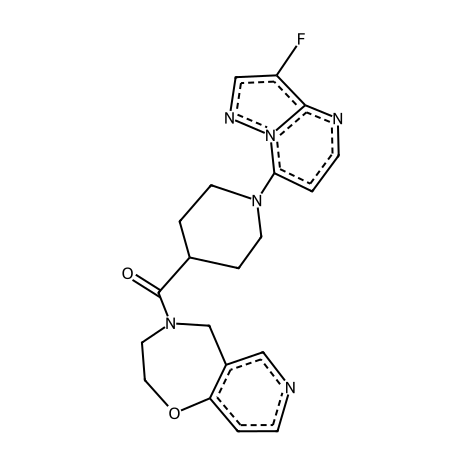 O=C(C1CCN(c2ccnc3c(F)cnn23)CC1)N1CCOc2ccncc2C1